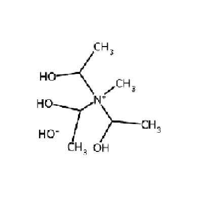 CC(O)[N+](C)(C(C)O)C(C)O.[OH-]